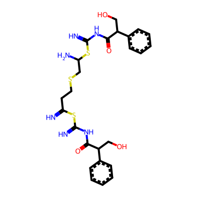 N=C(CCSCC(N)SC(=N)NC(=O)C(CO)c1ccccc1)SC(=N)NC(=O)C(CO)c1ccccc1